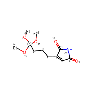 CCO[Si](CCCC1=CC(=O)NC1=O)(OCC)OCC